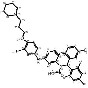 Cc1cc(C)c(C(c2cc(Cl)ccc2Cl)N(C(=O)O)c2ccnc(Nc3ccc(OCCCN4CCCCC4)c(F)c3)n2)c(C)c1